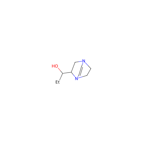 CCC(O)C1CN2C=CN1CC2